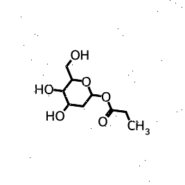 CCC(=O)OC1CC(O)C(O)C(CO)O1